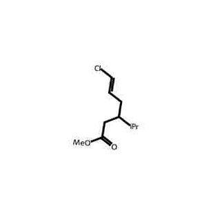 COC(=O)CC(C/C=C/Cl)C(C)C